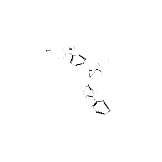 CC1(C)[C@@H](c2ccc(S(C)(=O)=O)cc2)[C@@H]1c1nc(-c2ccccc2)no1